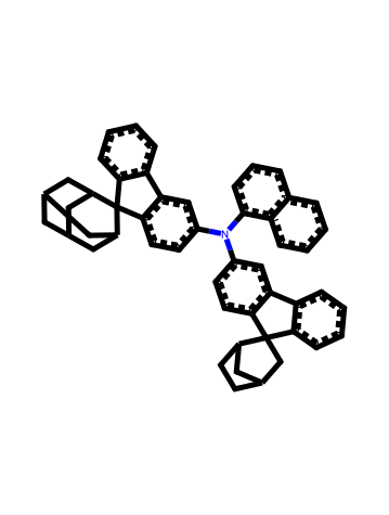 c1ccc2c(c1)-c1cc(N(c3ccc4c(c3)-c3ccccc3C43C4CC5CC(C4)CC3C5)c3cccc4ccccc34)ccc1C21CC2CCC1C2